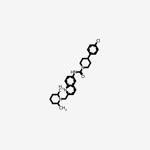 CC1CCCC(C)N1Cc1ccc2cc(NC(=O)N3CCC(c4ccc(Cl)cc4)CC3)ccc2n1